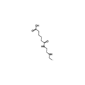 [CH2]CNCCNC(=O)CCCCC(=O)O